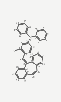 Cc1cc(N(c2ccccc2)c2ccccc2)ccc1C=C1c2ccccc2C=Cc2ccccc21